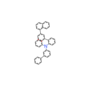 c1ccc(-c2cccc(N(c3ccccc3)c3ccccc3-c3cccc(-c4cccc5ccccc45)c3)c2)cc1